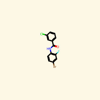 O=C(Nc1ccc(Br)cc1F)c1cccc(Cl)c1